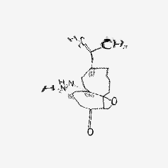 C=C(C)[C@H]1CCC23OC2C(=O)C[C@H](N)[C@@]3(N)C1